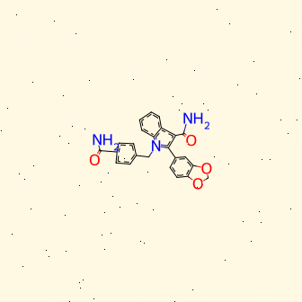 NC(=O)c1ccc(Cn2c(-c3ccc4c(c3)OCO4)c(C(N)=O)c3ccccc32)cc1